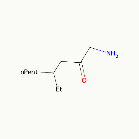 CCCCCC(CC)CC(=O)CN